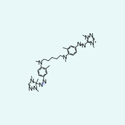 Cc1cc(N=Nc2n(C)nc[n+]2C)ccc1N(C)CCCCCN(C)c1ccc(/N=N\C2(C)N(C)C=NN2C)cc1C